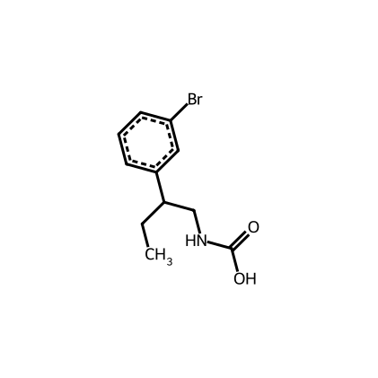 CCC(CNC(=O)O)c1cccc(Br)c1